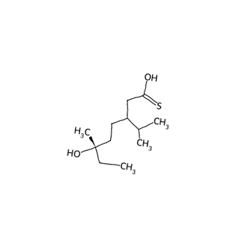 CC[C@](C)(O)CCC(CC(O)=S)C(C)C